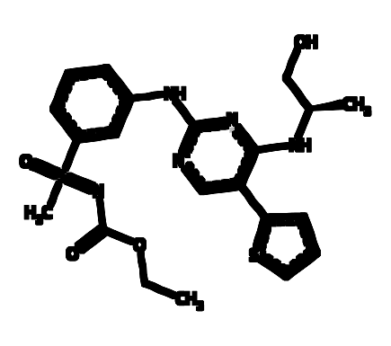 CCOC(=O)N=S(C)(=O)c1cccc(Nc2ncc(-c3cccs3)c(N[C@H](C)CO)n2)c1